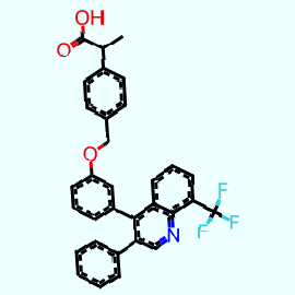 CC(C(=O)O)c1ccc(COc2cccc(-c3c(-c4ccccc4)cnc4c(C(F)(F)F)cccc34)c2)cc1